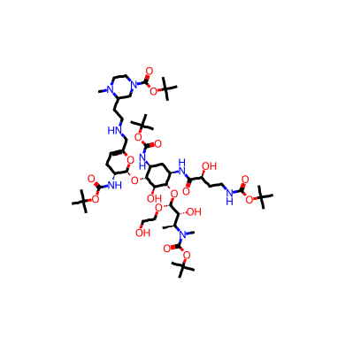 C[C@@H]([C@@H](O)[C@H](OCCO)O[C@@H]1[C@@H](O)[C@H](O[C@H]2OC(CNCCC3CN(C(=O)OC(C)(C)C)CCN3C)=CC[C@H]2NC(=O)OC(C)(C)C)[C@@H](NC(=O)OC(C)(C)C)C[C@H]1NC(=O)[C@@H](O)CCNC(=O)OC(C)(C)C)N(C)C(=O)OC(C)(C)C